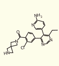 CCc1ncnc(-c2ccc(C(=O)N3CC4(CNC4)C3)c(Cl)c2)c1-c1ccc(N)nc1